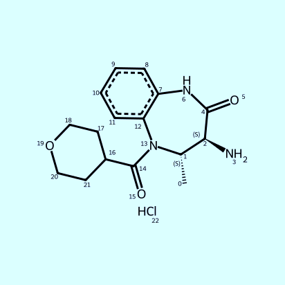 C[C@H]1[C@H](N)C(=O)Nc2ccccc2N1C(=O)C1CCOCC1.Cl